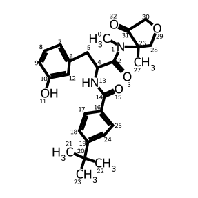 CN(C(=O)C(Cc1cccc(O)c1)NC(=O)c1ccc(C(C)(C)C)cc1)C1(C)COCC1=O